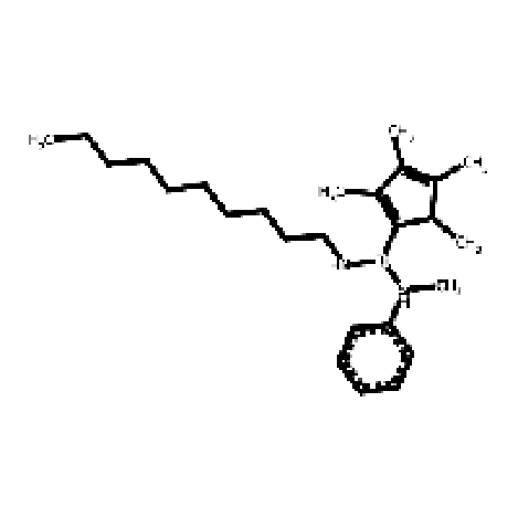 CCCCCCCCCC[NH][Ti]([C]1=C(C)C(C)=C(C)C1C)[SiH](C)c1ccccc1